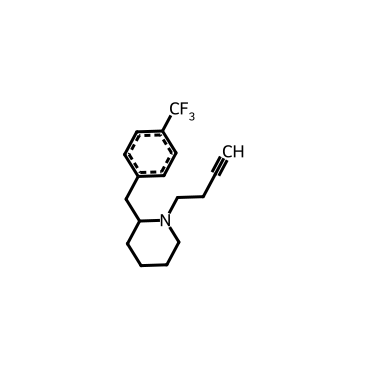 C#CCCN1CCCCC1Cc1ccc(C(F)(F)F)cc1